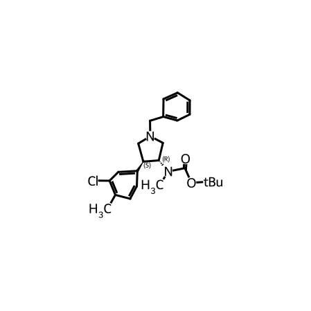 Cc1ccc([C@H]2CN(Cc3ccccc3)C[C@@H]2N(C)C(=O)OC(C)(C)C)cc1Cl